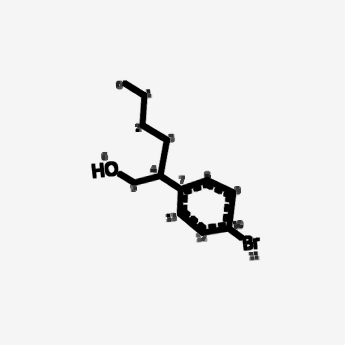 CCCCC(CO)c1ccc(Br)cc1